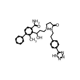 Cc1c(-c2ccccc2)ccc(C(N)=O)c1C(O)CCN1CCC(=O)N1CCc1ccc(-c2nnn[nH]2)cc1